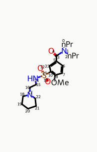 CCCN(CCC)C(=O)c1ccc(OC)c(S(=O)(=O)NCCN2CCCCC2)c1